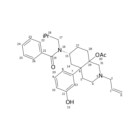 C=CCN1CCC2(c3cccc(O)c3)C[C@H](N(CC(C)C)C(=O)c3ccccc3)CCC2(OC(C)=O)C1